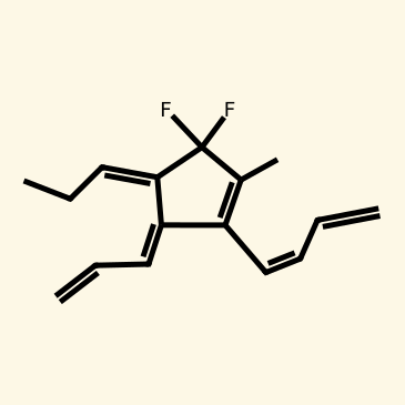 C=C/C=C\C1=C(C)C(F)(F)C(=C/CC)/C1=C\C=C